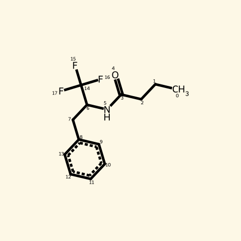 CCCC(=O)NC(Cc1ccccc1)C(F)(F)F